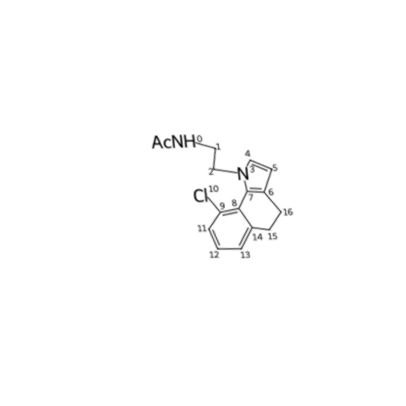 CC(=O)NCCn1ccc2c1-c1c(Cl)cccc1CC2